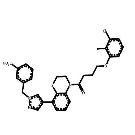 Cc1c(Cl)cccc1OCCCC(=O)N1CCSc2c(-c3cnn(Cc4cccc(C(=O)O)c4)c3)cccc21